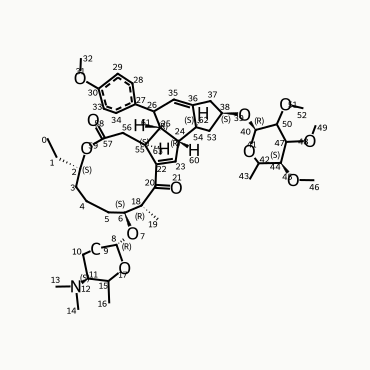 CC[C@H]1CCC[C@H](O[C@H]2CC[C@H](N(C)C)C(C)O2)[C@@H](C)C(=O)C2=C[C@@H]3[C@@H](C(c4ccc(OC)cc4)C=C4C[C@@H](O[C@@H]5OC(C)[C@H](OC)C(OC)C5OC)C[C@H]43)[C@@H]2CC(=O)O1